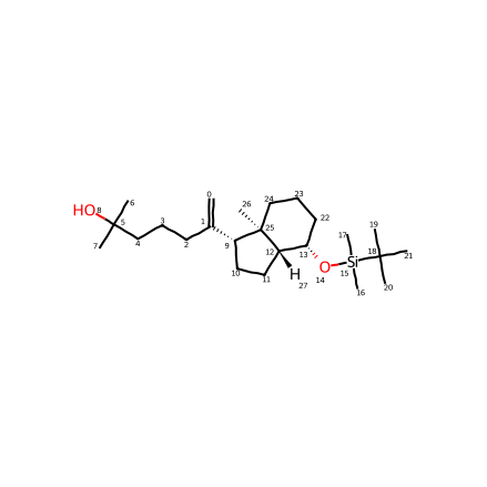 C=C(CCCC(C)(C)O)[C@H]1CC[C@H]2[C@@H](O[Si](C)(C)C(C)(C)C)CCC[C@]12C